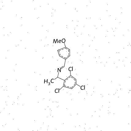 COc1ccc(C=NC(C)c2c(Cl)cc(Cl)cc2Cl)cc1